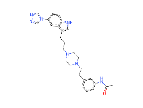 CC(=O)Nc1cccc(CCN2CCN(CCCc3c[nH]c4ccc(-n5cnnc5)cc34)CC2)c1